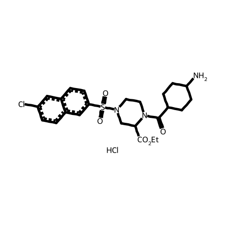 CCOC(=O)C1CN(S(=O)(=O)c2ccc3cc(Cl)ccc3c2)CCN1C(=O)C1CCC(N)CC1.Cl